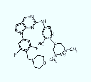 C[C@@H]1CN(c2ncc(Nc3ncc4ccn(-c5cc(F)c(CN6CCOCC6)c(F)c5)c4n3)cc2C#N)C[C@H](C)N1